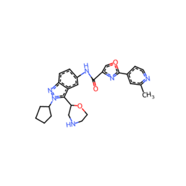 Cc1cc(-c2nc(C(=O)Nc3ccc4nn(C5CCCC5)c(C5CNCCO5)c4c3)co2)ccn1